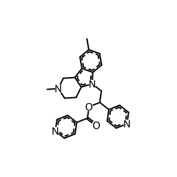 Cc1ccc2c(c1)c1c(n2CC(OC(=O)c2ccncc2)c2ccncc2)CCN(C)C1